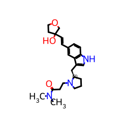 CN(C)C(=O)CCN1CCC[C@@H]1Cc1c[nH]c2ccc(C=CC3(O)CCOC3)cc12